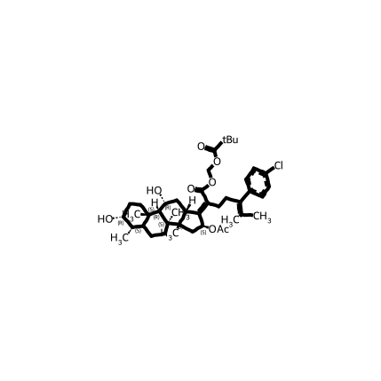 CC(=O)O[C@H]1C[C@@]2(C)[C@H](C[C@@H](O)[C@@H]3[C@@]4(C)CC[C@@H](O)[C@@H](C)C4CC[C@@]32C)C1=C(CCC(=C(C)C)c1ccc(Cl)cc1)C(=O)OCOC(=O)C(C)(C)C